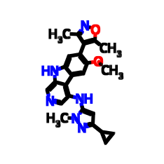 COc1cc2c(cc1-c1c(C)noc1C)[nH]c1cncc(Nc3cc(C4CC4)nn3C)c12